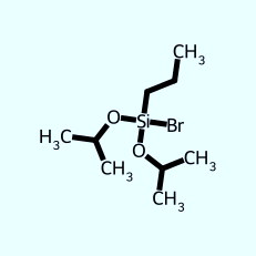 CCC[Si](Br)(OC(C)C)OC(C)C